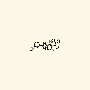 COC(=O)C(=O)c1c(C)cn2cc(-c3cccc(Cl)c3)nc2c1Br